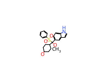 COC(c1ccc2[nH]ccc2c1)(C1CCC(=O)CC1)S(=O)(=O)c1ccccc1